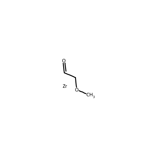 COCC=O.[Zr]